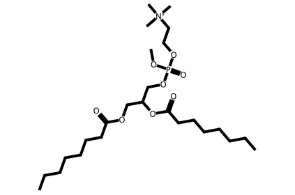 CCCCCCCC(=O)OCC(COP(=O)(OC)OCC[N+](C)(C)C)OC(=O)CCCCCCC